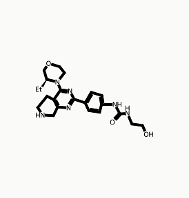 CC[C@H]1COCCN1c1nc(-c2ccc(NC(=O)NCCO)cc2)nc2c1CCNC2